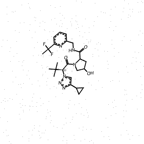 CC(F)(F)c1cccc(CNC(=O)C2CC(O)CN2C(=O)[C@@H](n2cc(C3CC3)nn2)C(C)(C)C)n1